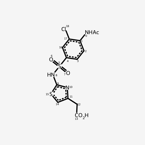 CC(=O)Nc1ccc(S(=O)(=O)Nc2nc(CC(=O)O)cs2)cc1Cl